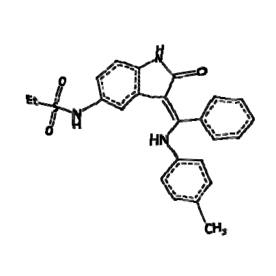 CCS(=O)(=O)Nc1ccc2c(c1)C(=C(Nc1ccc(C)cc1)c1ccccc1)C(=O)N2